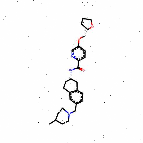 CC1CCN(Cc2ccc3c(c2)CC[C@H](NC(=O)c2ccc(OC[C@@H]4CCCO4)cn2)C3)CC1